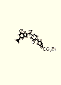 CCOC(=O)C1C2CC(N3CCN(C(=O)c4cn5cc(C6CC6)cc(C(F)(F)F)c5n4)CC3=O)CC21